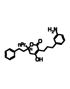 CCC[C@]1(CCc2ccccc2)CC(O)=C(CCCc2cccc(N)c2)C(=O)O1